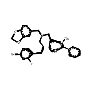 CCCCn1c(CN(C/C=C\c2ccc(Br)cc2F)Cc2ccc3c(c2)OCO3)cnc1-c1ccccc1